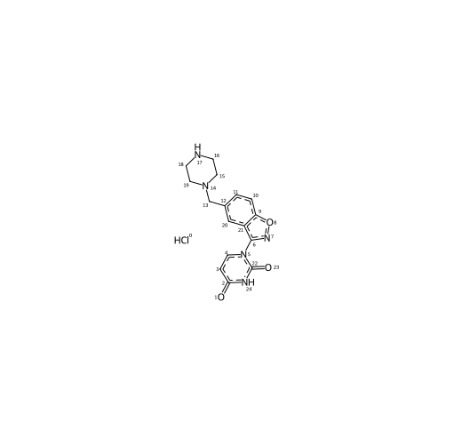 Cl.O=c1ccn(-c2noc3ccc(CN4CCNCC4)cc23)c(=O)[nH]1